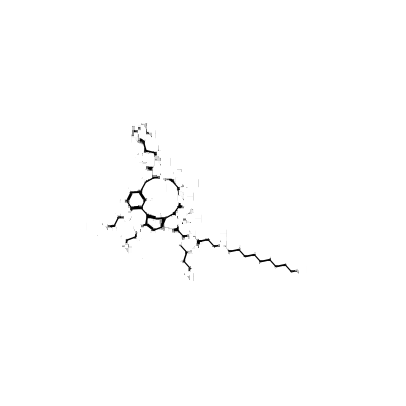 CCCCCCCCCCNCCC(=O)N[C@@H](CCCCN)C(=O)N(C)[C@@H]1C(=O)N[C@@H](C)C(=O)N[C@H](C(=O)N[C@@H](C)C(=O)c2nnn[nH]2)Cc2ccc(OCCN)c(c2)-c2cc1ccc2OCCN